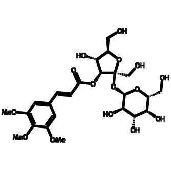 COc1cc(/C=C/C(=O)O[C@H]2[C@H](O)[C@@H](CO)O[C@@]2(CO)O[C@H]2O[C@H](CO)[C@@H](O)[C@H](O)[C@H]2O)cc(OC)c1OC